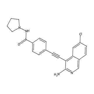 Nc1ncc2ccc(Cl)cc2c1C#Cc1ccc(C(=O)NN2CCCC2)cc1